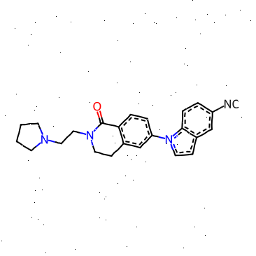 [C-]#[N+]c1ccc2c(ccn2-c2ccc3c(c2)CCN(CCN2CCCC2)C3=O)c1